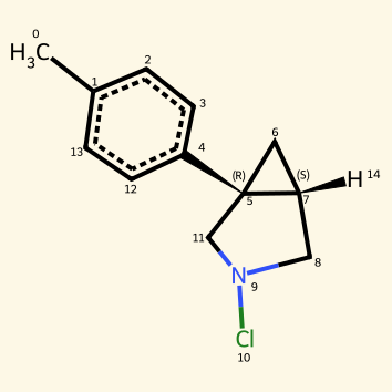 Cc1ccc([C@@]23C[C@@H]2CN(Cl)C3)cc1